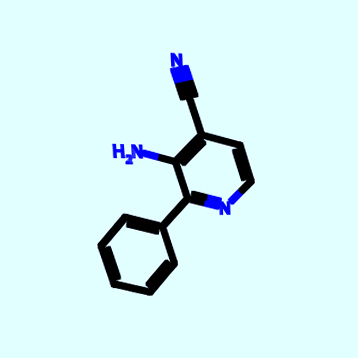 N#Cc1ccnc(-c2ccccc2)c1N